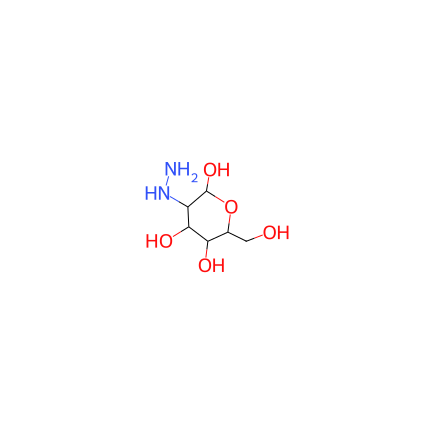 NNC1C(O)OC(CO)C(O)C1O